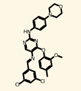 COc1cc(C)ccc1Oc1nc(Nc2ccc(N3CCOCC3)cc2)ncc1N=Cc1cc(Cl)cc(Cl)c1